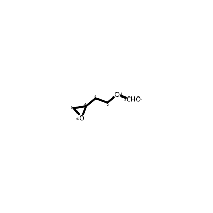 O=[C]OCCC1CO1